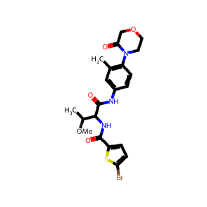 COC(C)C(NC(=O)c1ccc(Br)s1)C(=O)Nc1ccc(N2CCOCC2=O)c(C)c1